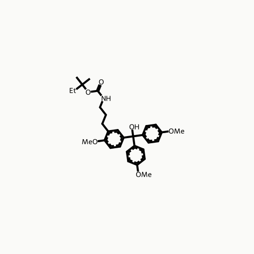 CCC(C)(C)OC(=O)NCCCc1cc(C(O)(c2ccc(OC)cc2)c2ccc(OC)cc2)ccc1OC